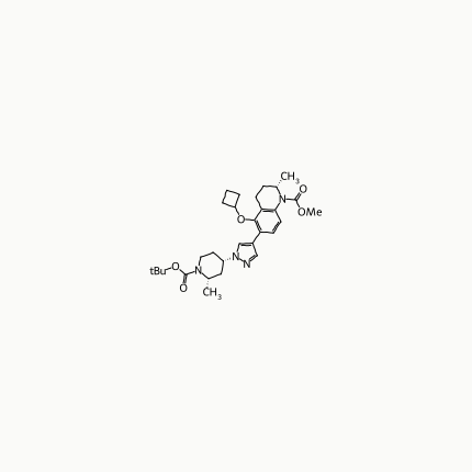 COC(=O)N1c2ccc(-c3cnn([C@H]4CCN(C(=O)OC(C)(C)C)[C@@H](C)C4)c3)c(OC3CCC3)c2CC[C@@H]1C